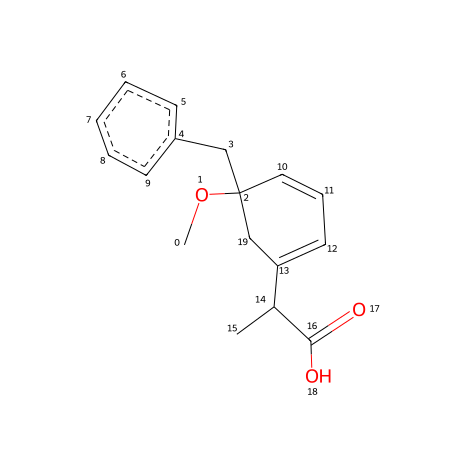 COC1(Cc2ccccc2)C=CC=C(C(C)C(=O)O)C1